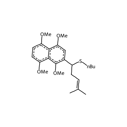 CCCCSC(CC=C(C)C)c1cc(OC)c2c(OC)ccc(OC)c2c1OC